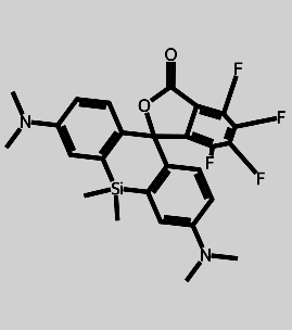 CN(C)c1ccc2c(c1)[Si](C)(C)c1cc(N(C)C)ccc1C21OC(=O)c2c(F)c(F)c(F)c(F)c21